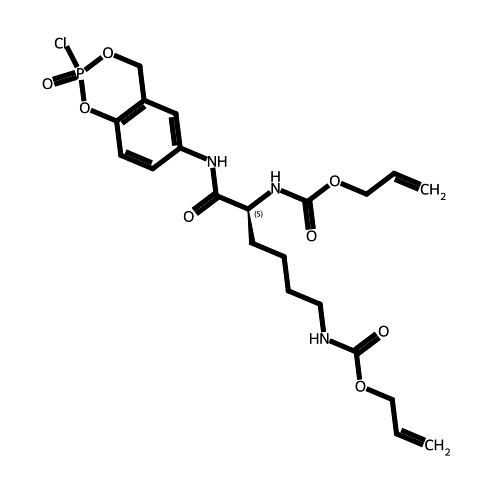 C=CCOC(=O)NCCCC[C@H](NC(=O)OCC=C)C(=O)Nc1ccc2c(c1)COP(=O)(Cl)O2